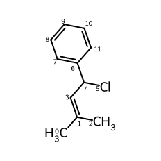 CC(C)=CC(Cl)c1ccccc1